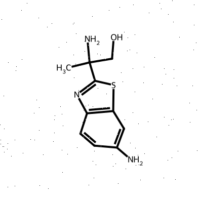 CC(N)(CO)c1nc2ccc(N)cc2s1